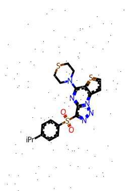 CC(C)c1ccc(S(=O)(=O)c2nnn3c2nc(N2CCSCC2)c2sccc23)cc1